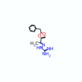 CC(=NNC(=N)N)C1=COC(Cc2ccccc2)O1